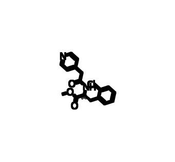 COC(=O)[C@H](Cc1ccccc1Cl)NC(=O)Cc1ccncc1